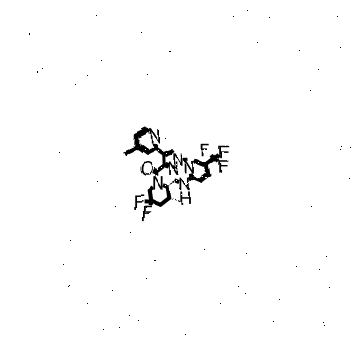 Cc1ccnc(-c2cn(C)nc2C(=O)N2CC(F)(F)C[C@@H](C)[C@H]2CNc2ccc(C(F)(F)F)cn2)c1